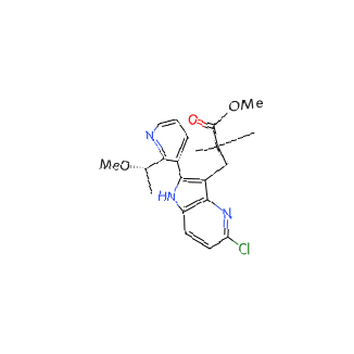 COC(=O)C(C)(C)Cc1c(-c2cccnc2[C@H](C)OC)[nH]c2ccc(Cl)nc12